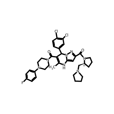 CC1=C(C(=O)N2CCN(c3ccc(F)cc3)CC2)C(c2ccc(Cl)c(Cl)c2)n2nc(C(=O)N3CCC[C@H]3CN3CCCC3)cc2N1